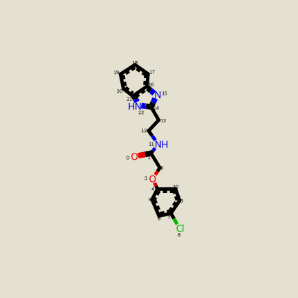 O=C(COc1ccc(Cl)cc1)NCCc1nc2ccccc2[nH]1